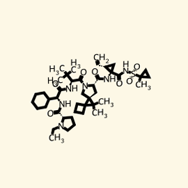 C=C[C@@H]1C[C@]1(NC(=O)[C@@H]1C[C@@]2(CN1C(=O)[C@@H](NC(=O)[C@@H](NC(=O)[C@@H]1CCCN1CC)C1CCCCC1)C(C)(C)C)C(C)(C)C21CCC1)C(=O)NS(=O)(=O)C1(C)CC1